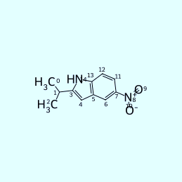 CC(C)c1cc2cc([N+](=O)[O-])ccc2[nH]1